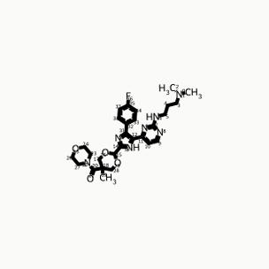 CN(C)CCCNc1nccc(-c2[nH]c(C3OCC(C)(C(=O)N4CCOCC4)CO3)nc2-c2ccc(F)cc2)n1